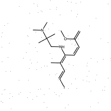 C=C(/C=C\C(NCC(C)(C)N(C)C)=C(C)C=CI)OC